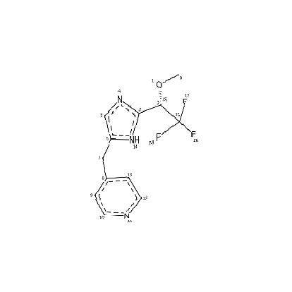 CO[C@@H](c1ncc(Cc2ccncc2)[nH]1)C(F)(F)F